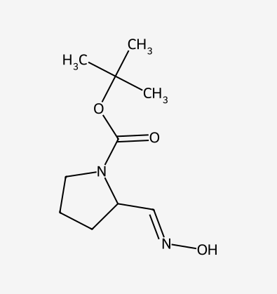 CC(C)(C)OC(=O)N1CCCC1/C=N/O